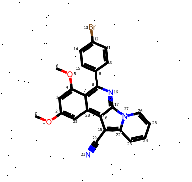 COc1cc(OC)c2c(-c3ccc(Br)cc3)nc3c(c(C#N)c4ccccn43)c2c1